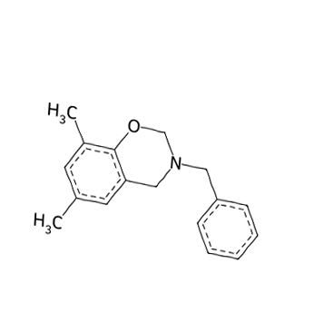 Cc1cc(C)c2c(c1)CN(Cc1ccccc1)CO2